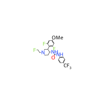 COc1cc(F)c(C2CN(CCF)CCC2NC(=O)Nc2ccc(C(F)(F)F)cc2)c(F)c1